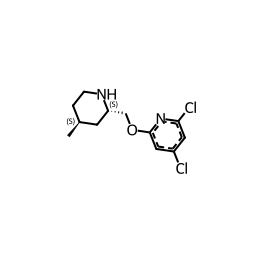 C[C@H]1CCN[C@H](COc2cc(Cl)cc(Cl)n2)C1